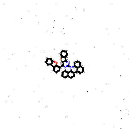 c1ccc2c3c(ccc2c1)-c1cccc2cccc(c12)N3c1nc(-c2cccc3c2oc2ccccc23)c2sc3ccccc3c2n1